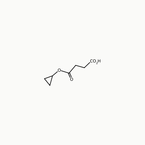 O=C(O)CCC(=O)OC1CC1